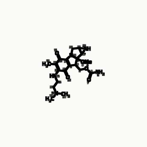 COC12C(COC(N)=O)C3=C(C(=O)C(C)=C(NCCN(C)C)C3=O)N1CC1NC12